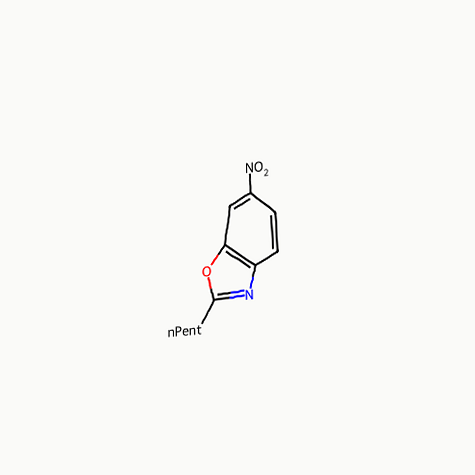 CCCCCc1nc2ccc([N+](=O)[O-])cc2o1